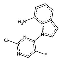 Nc1cccc2ccn(-c3nc(Cl)ncc3F)c12